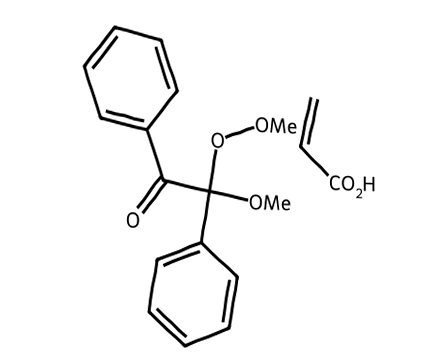 C=CC(=O)O.COOC(OC)(C(=O)c1ccccc1)c1ccccc1